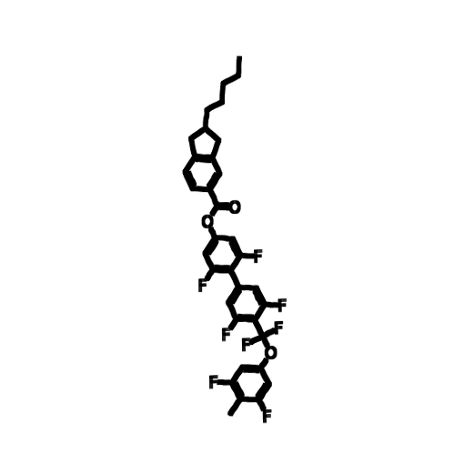 CCCCCC1Cc2ccc(C(=O)Oc3cc(F)c(-c4cc(F)c(C(F)(F)Oc5cc(F)c(C)c(F)c5)c(F)c4)c(F)c3)cc2C1